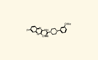 COc1cccc(N2CCN(C(=O)Nc3nc4ccc(F)cc4nc3OC)CC2)c1